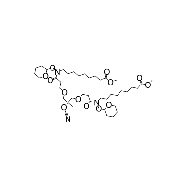 COC(=O)CCCCCCCCN(OC1CCCCO1)C(=O)CCOCC(C)(COCCC(=O)N(CCCCCCCCC(=O)OC)OC1CCCCO1)OC#N